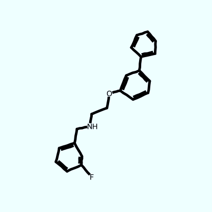 Fc1cccc(CNCCOc2cccc(-c3ccccc3)c2)c1